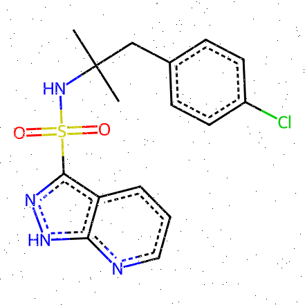 CC(C)(Cc1ccc(Cl)cc1)NS(=O)(=O)c1n[nH]c2ncccc12